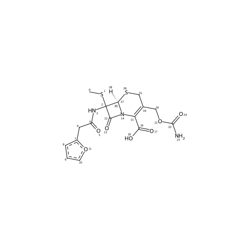 CSC1(NC(=O)Cc2ccco2)C(=O)N2C(C(=O)O)=C(COC(N)=O)CS[C@@H]21